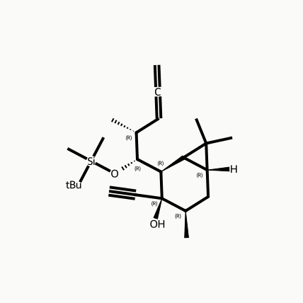 C#C[C@@]1(O)[C@H](C)C[C@@H]2C([C@@H]1[C@H](O[Si](C)(C)C(C)(C)C)[C@H](C)C=C=C)C2(C)C